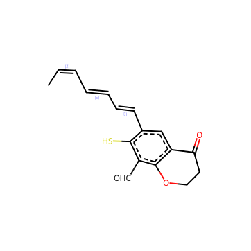 C\C=C/C=C/C=C/c1cc2c(c(C=O)c1S)OCCC2=O